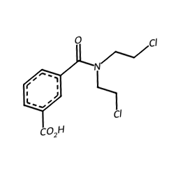 O=C(O)c1cccc(C(=O)N(CCCl)CCCl)c1